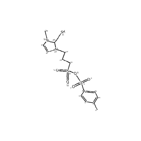 Cc1ccc(S(=O)(=O)OS(=O)(=O)CCCN2C=CN(C)C2S)cc1